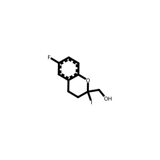 OCC1(I)CCc2cc(F)ccc2O1